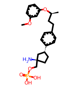 COc1cccc(O[C@@H](C)CCc2ccc([C@@H]3CC[C@](N)(COP(=O)(O)O)C3)cc2)c1